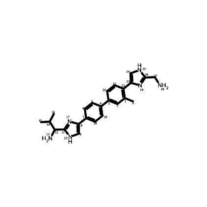 Cc1cc(-c2ccc(-c3c[nH]c(C(N)C(C)C)n3)cc2)ccc1-c1c[nH]c(CN)n1